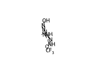 Cc1cc(N2CCN(CCO)CC2)nc(N/N=C/c2ccc(Nc3cccc(C(F)(F)F)c3)cn2)n1